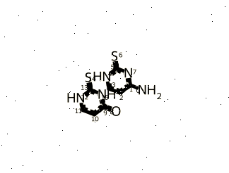 Nc1cc[nH]c(=S)n1.O=c1cc[nH]c(=S)[nH]1